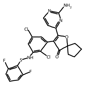 Nc1nccc(C2=C(c3cc(Cl)cc(NSc4c(F)cccc4F)c3Cl)C(=O)C3(CCCC3)O2)n1